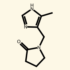 Cc1[nH]cnc1CN1CCCC1=O